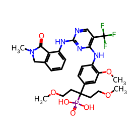 COCCC(CCOC)(c1ccc(Nc2nc(Nc3cccc4c3C(=O)N(C)C4)ncc2C(F)(F)F)c(OC)c1)P(=O)(O)O